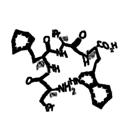 CC(C)C[C@H](N)C(=O)N[C@@H](Cc1ccccc1)C(=O)N[C@H](C(=O)N[C@@H](Cc1c[nH]c2ccccc12)C(=O)O)C(C)C